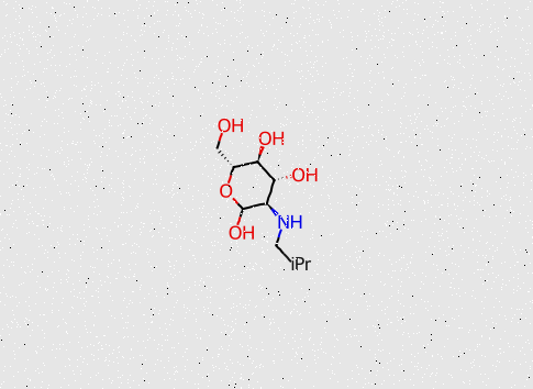 CC(C)CN[C@H]1C(O)O[C@H](CO)[C@@H](O)[C@@H]1O